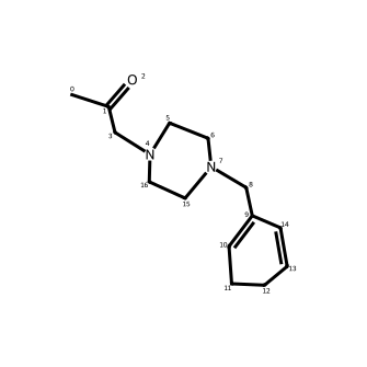 CC(=O)CN1CCN(CC2=CCCC=C2)CC1